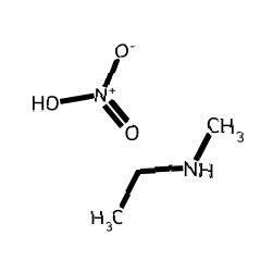 CCNC.O=[N+]([O-])O